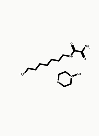 CCCCCCCCNC(=O)C(N)=O.SN1CCOCC1